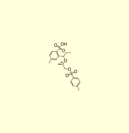 CCC(O[C@H](C)COS(=O)(=O)c1ccc(C)cc1)c1cc(C)ccc1S(=O)(=O)O